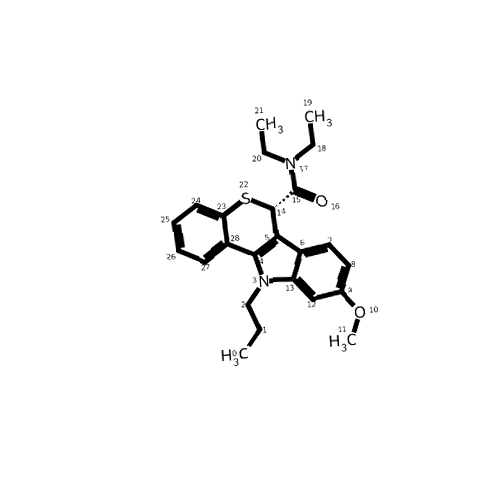 CCCn1c2c(c3ccc(OC)cc31)[C@@H](C(=O)N(CC)CC)Sc1ccccc1-2